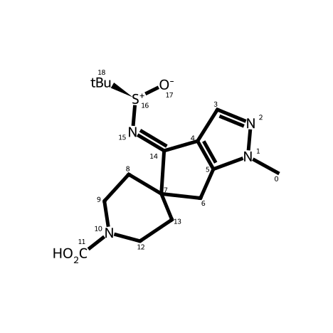 Cn1ncc2c1CC1(CCN(C(=O)O)CC1)/C2=N/[S@+]([O-])C(C)(C)C